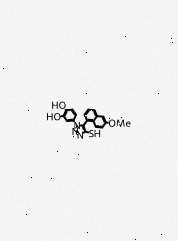 COc1ccc2c(-c3c(S)nnn3-c3ccc(O)c(O)c3)cccc2c1